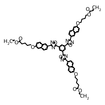 C=COC(=O)CCCCOc1ccc2cc(-c3noc(-c4cc(-c5nc(-c6ccc7cc(OCCCCOC(=O)C=C)ccc7c6)no5)cc(-c5nc(-c6ccc7cc(OCCCCC(=O)OC=C)ccc7c6)no5)c4)n3)ccc2c1